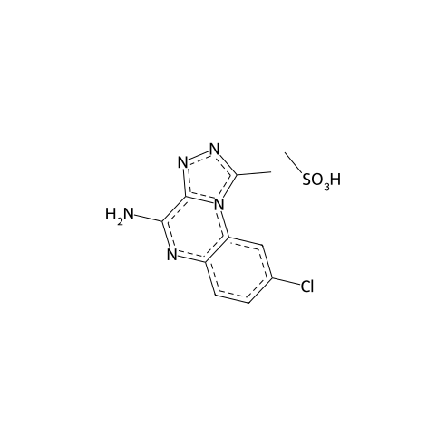 CS(=O)(=O)O.Cc1nnc2c(N)nc3ccc(Cl)cc3n12